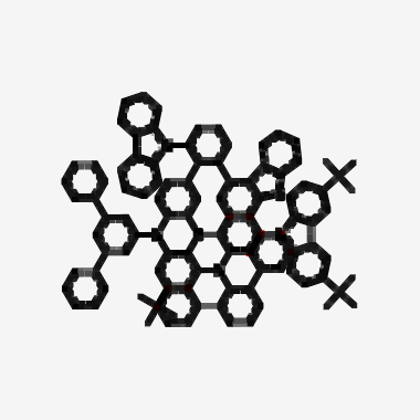 CC(C)(C)c1cc2c3c(c1)N(c1c(-c4ccccc4)cccc1-c1ccccc1)c1cc(-n4c5ccc(C(C)(C)C)cc5c5cc(C(C)(C)C)ccc54)ccc1B3c1cc(-c3c(-c4cccc5sc6ccccc6c45)cccc3-n3c4ccccc4c4ccccc43)ccc1N2c1cc(-c2ccccc2)cc(-c2ccccc2)c1